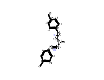 Cc1ccc(/N=N/N(C)/N=N/c2ccc(C)cc2)cc1